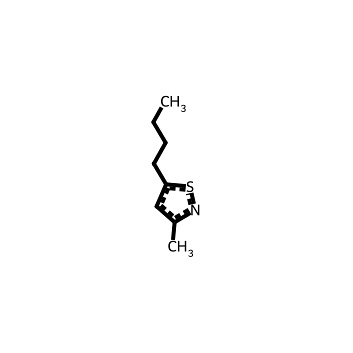 CCCCc1cc(C)ns1